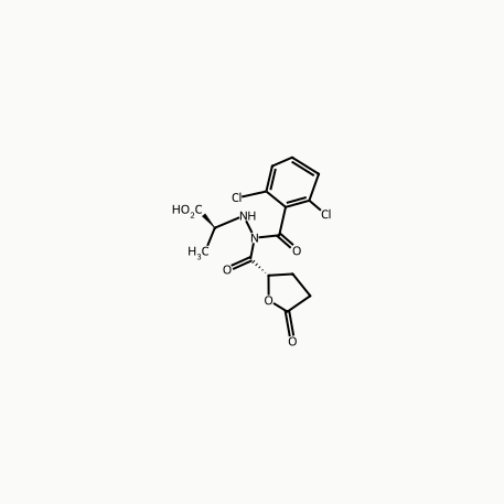 C[C@H](NN(C(=O)c1c(Cl)cccc1Cl)C(=O)[C@@H]1CCC(=O)O1)C(=O)O